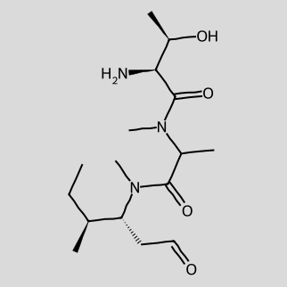 CC[C@H](C)[C@@H](CC=O)N(C)C(=O)C(C)N(C)C(=O)[C@@H](N)[C@@H](C)O